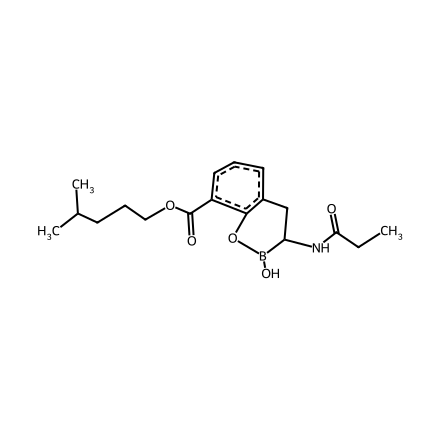 CCC(=O)NC1Cc2cccc(C(=O)OCCCC(C)C)c2OB1O